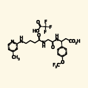 Cc1ccnc(NCCCC(=O)NCC(=O)NC(CC(=O)O)c2ccc(OC(F)(F)F)cc2)c1.O=C(O)C(F)(F)F